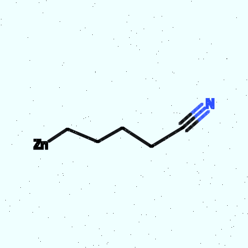 N#CCCC[CH2][Zn]